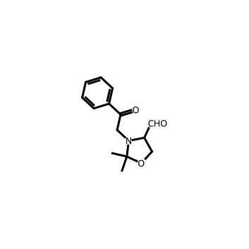 CC1(C)OCC(C=O)N1CC(=O)c1ccccc1